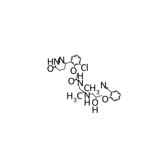 CC(C)(CNC(=O)COc1c(Cl)cccc1C1=NNC(=O)CC1)NCC(O)COc1ccccc1C#N